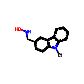 CCn1c2ccccc2c2cc(CNO)ccc21